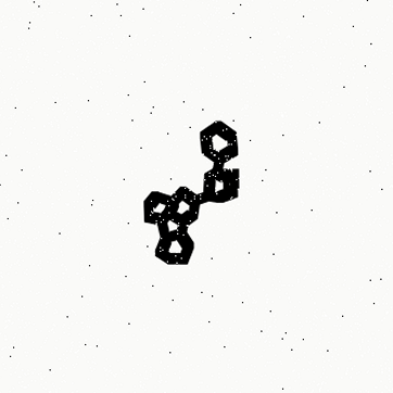 c1ccc(-c2cc(-c3cc4c5c(cccc5c3)-c3ccccc3-4)ccn2)cc1